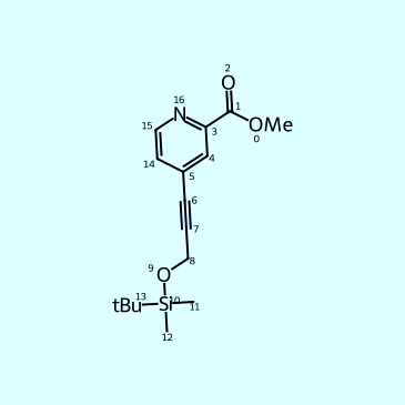 COC(=O)c1cc(C#CCO[Si](C)(C)C(C)(C)C)ccn1